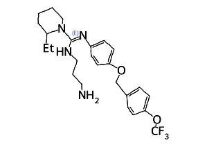 CCC1CCCCN1/C(=N/c1ccc(OCc2ccc(OC(F)(F)F)cc2)cc1)NCCCN